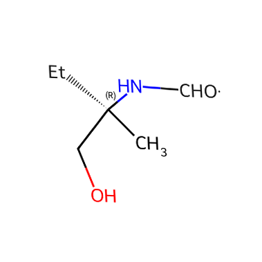 CC[C@](C)(CO)N[C]=O